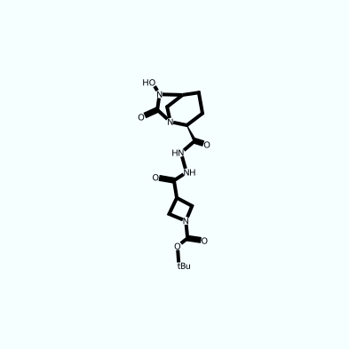 CC(C)(C)OC(=O)N1CC(C(=O)NNC(=O)[C@@H]2CCC3CN2C(=O)N3O)C1